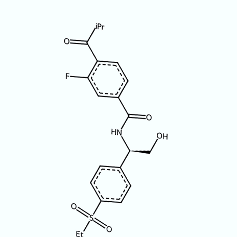 CCS(=O)(=O)c1ccc([C@H](CO)NC(=O)c2ccc(C(=O)C(C)C)c(F)c2)cc1